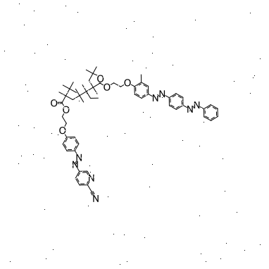 CCC(C)(C(C)(C)CC(C)(C(=O)OCCOc1ccc(/N=N/c2ccc(C#N)nc2)cc1)C(C)(C)C)C(C)(CC(C)(C)C)C(=O)OCCOc1ccc(/N=N/c2ccc(/N=N/c3ccccc3)cc2)cc1C